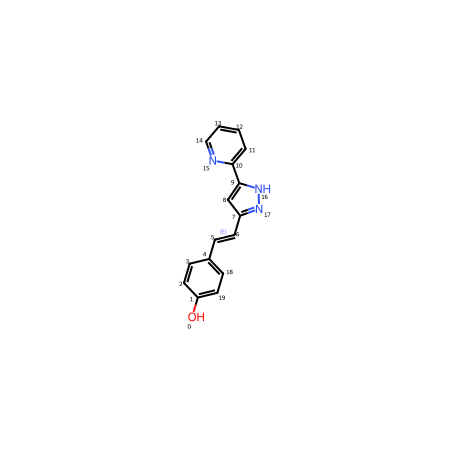 Oc1ccc(/C=C/c2cc(-c3ccccn3)[nH]n2)cc1